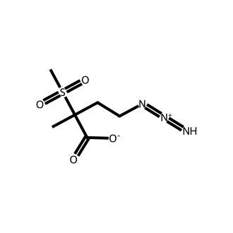 CC(CCN=[N+]=N)(C(=O)[O-])S(C)(=O)=O